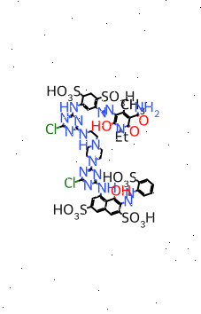 CCn1c(O)c(/N=N/C2=C(S(=O)(=O)O)CC(S(=O)(=O)O)C(Nc3nc(Cl)nc(NCCN4CCN(c5nc(Cl)nc(Nc6cc(S(=O)(=O)O)cc7cc(S(=O)(=O)O)c(/N=N/c8ccccc8S(=O)(=O)O)c(O)c67)n5)CC4)n3)=C2)c(C)c(C(N)=O)c1=O